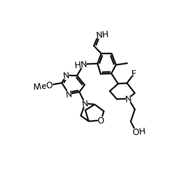 COc1nc(Nc2cc(C3CCN(CCO)CC3F)c(C)cc2C=N)cc(N2CC3CC2CO3)n1